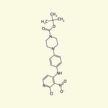 CC(C)(C)OC(=O)N1CCN(c2ccc(Nc3ccnc(Cl)c3[N+](=O)[O-])cc2)CC1